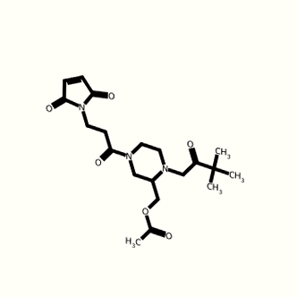 CC(=O)OCC1CN(C(=O)CCN2C(=O)C=CC2=O)CCN1CC(=O)C(C)(C)C